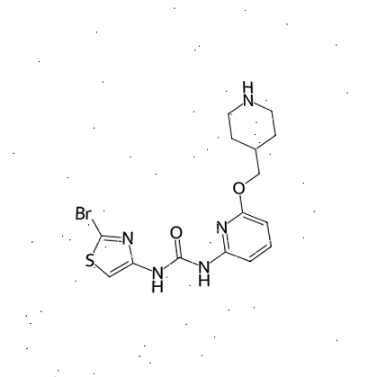 O=C(Nc1cccc(OCC2CCNCC2)n1)Nc1csc(Br)n1